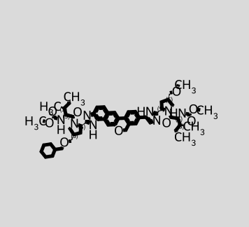 CC[C@H](C)[C@H](NC(=O)OC)C(=O)N1C[C@@H](COC)C[C@H]1c1ncc(-c2ccc3c(c2)COc2cc4c(ccc5nc([C@@H]6C[C@H](COCC7CCCCC7)CN6C(=O)[C@@H](NC(=O)OC)[C@@H](C)CC)[nH]c54)cc2-3)[nH]1